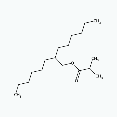 CCCCCCC(CCCCCC)COC(=O)C(C)C